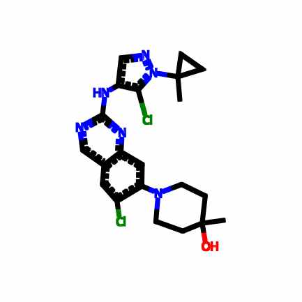 CC1(O)CCN(c2cc3nc(Nc4cnn(C5(C)CC5)c4Cl)ncc3cc2Cl)CC1